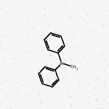 [CH3][Bi]([c]1ccccc1)[c]1ccccc1